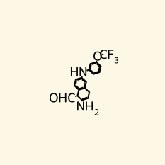 NC1=CCc2cc(Nc3cccc(OC(F)(F)F)c3)ccc2[C@@H]1C=O